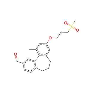 Cc1cc(OCCCS(C)(=O)=O)cc2c1-c1cc(C=O)ccc1CCC2